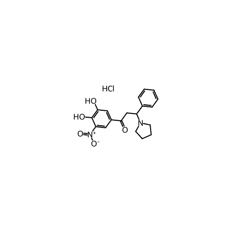 Cl.O=C(CC(c1ccccc1)N1CCCC1)c1cc(O)c(O)c([N+](=O)[O-])c1